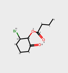 CCCC(=O)OC1C(=O)CCCC1Br